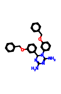 NC1=NC(c2cccc(OCc3ccccc3)c2)N(c2cccc(OCc3ccccc3)c2)C(N)=N1